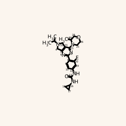 CC(C)N1Cc2nc(-c3ccc(NC(=O)NC4CC4)cc3F)nc(N3CCOCC3C)c2C1